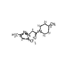 Cc1cc(C(F)(F)F)n(CC(=O)N2CCC(C#N)CC2)n1